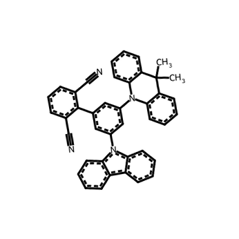 CC1(C)c2ccccc2N(c2cc(-c3c(C#N)cccc3C#N)cc(-n3c4ccccc4c4ccccc43)c2)c2ccccc21